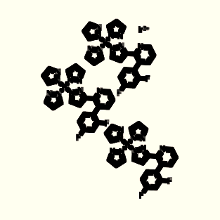 Fc1ccc(-c2cccnc2-c2ccn([B-](n3cccn3)(n3cccn3)n3cccn3)n2)c(F)c1.Fc1ccc(-c2cccnc2-c2ccn([B-](n3cccn3)(n3cccn3)n3cccn3)n2)c(F)c1.Fc1ccc(-c2cccnc2-c2ccn([B-](n3cccn3)(n3cccn3)n3cccn3)n2)c(F)c1.[Ir+3]